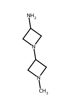 CN1CC(N2CC(N)C2)C1